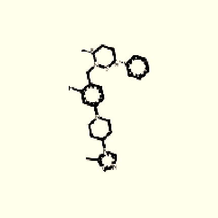 Cc1nncn1C1CCN(c2ccc(CN3S[C@@H](c4ccccc4)CC[C@@H]3C)c(F)c2)CC1